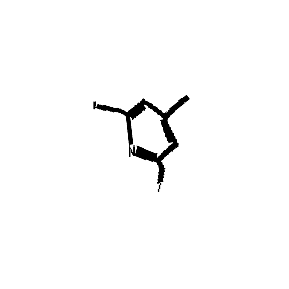 Cc1cc(I)nc(I)c1